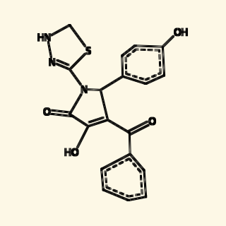 O=C(C1=C(O)C(=O)N(C2=NNCS2)C1c1ccc(O)cc1)c1ccccc1